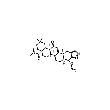 CN(C)C(=O)[C@]12CCC(C)(C)C[C@H]1[C@H]1C(=O)C=C3[C@@]4(C)Cc5cnoc5[C@@](C)(OC=O)[C@@H]4CC[C@@]3(C)[C@]1(C)CC2